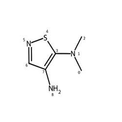 CN(C)c1sncc1N